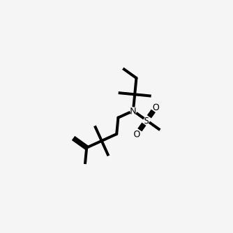 C=C(C)C(C)(C)CCN(C(C)(C)CC)S(C)(=O)=O